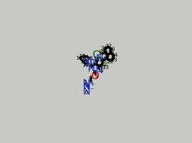 [N-]=[N+]=NCCOc1nc(N2CC3CCC(C2)N3)c2cnc(-c3cccc4cccc(Cl)c34)c(F)c2n1